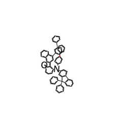 c1ccc(-c2ccc(N(c3ccc4c(c3)C(c3ccccc3)(c3ccccc3)c3ccccc3-4)c3cccc4oc5c6ccccc6c(-c6cccc(-c7ccccc7)c6)cc5c34)cc2)cc1